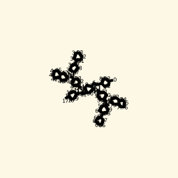 Cc1ccc(-c2cc3cc4c(cc(-c5ccc(C)cc5)n4-c4ccc(N(c5ccc(-c6ccccc6)cc5)c5ccc6ccccc6c5)cc4)cc3n2-c2ccc(N(c3ccc(-c4ccccc4)cc3)c3ccc4ccccc4c3)cc2)cc1